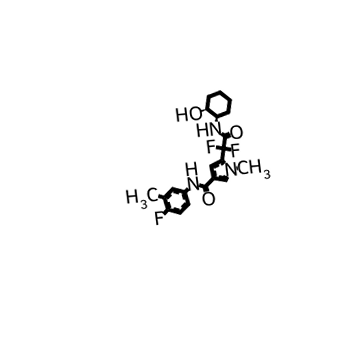 Cc1cc(NC(=O)c2cc(C(F)(F)C(=O)N[C@@H]3CCCC[C@H]3O)n(C)c2)ccc1F